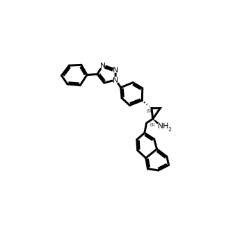 N[C@]1(Cc2ccc3ccccc3c2)C[C@H]1c1ccc(-n2cc(-c3ccccc3)nn2)cc1